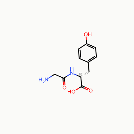 NCC(=O)N[C@H](Cc1ccc(O)cc1)C(=O)O